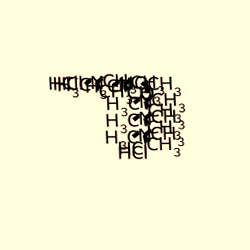 CC(=O)O.CCN(CC)CC.CCN(CC)CC.CCN(CC)CC.CCN(CC)CC.CCN(CC)CC.Cl.Cl.Cl.Cl